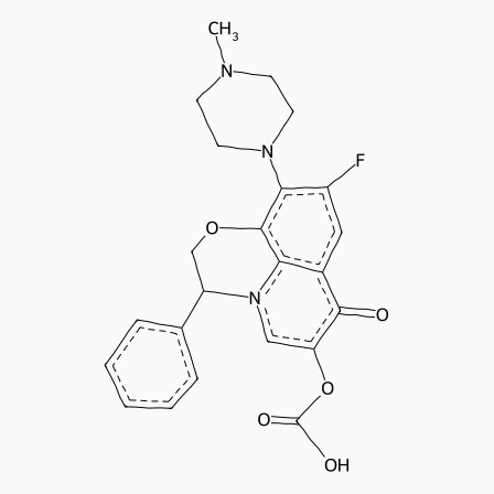 CN1CCN(c2c(F)cc3c(=O)c(OC(=O)O)cn4c3c2OCC4c2ccccc2)CC1